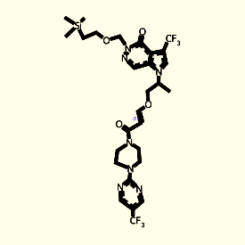 CC(CO/C=C/C(=O)N1CCN(c2ncc(C(F)(F)F)cn2)CC1)n1cc(C(F)(F)F)c2c(=O)n(COCC[Si](C)(C)C)ncc21